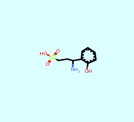 NC(CCS(=O)(=O)O)c1ccccc1O